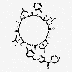 CC(C)C[C@H]1C(=O)O[C@H](Cc2ccc(Cn3cc(C(=O)N4CCOCC4)cn3)cc2)C(=O)N(C)[C@@H](CC(C)C)C(=O)O[C@H](C)C(=O)N(C)[C@@H](CC(C)C)C(=O)O[C@H](Cc2ccccc2)C(=O)N(C)[C@@H](CC(C)C)C(=O)O[C@H](C)C(=O)N1C